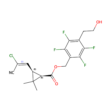 CC1(C)[C@H](C(=O)OCc2c(F)c(F)c(CCO)c(F)c2F)[C@@H]1/C=C(/Cl)C#N